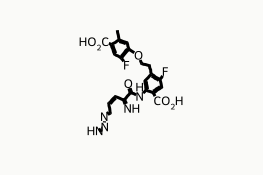 Cc1cc(OCCc2cc(NC(=O)C(=N)/C=C\C=N\N=N)c(C(=O)O)cc2F)c(F)cc1C(=O)O